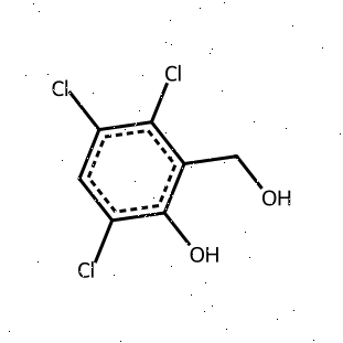 OCc1c(O)c(Cl)cc(Cl)c1Cl